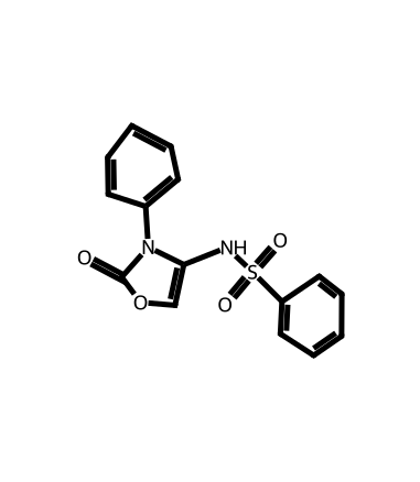 O=c1occ(NS(=O)(=O)c2ccccc2)n1-c1ccccc1